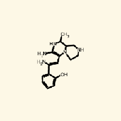 CC1NC(N)=C(/C=C(\N)c2ccccc2O)N2CCNCC12